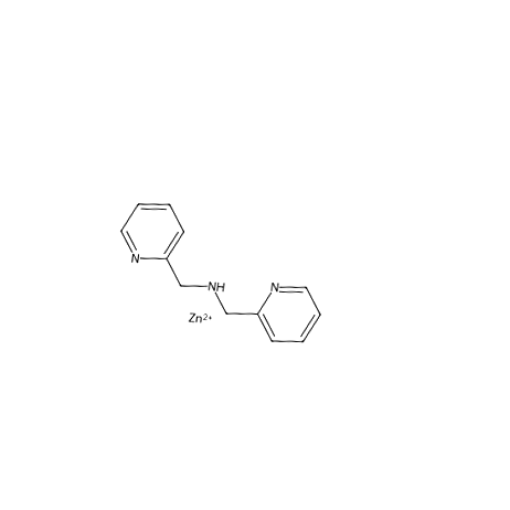 [Zn+2].c1ccc(CNCc2ccccn2)nc1